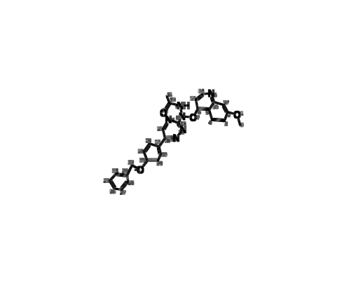 COc1ccc2c(ON(NC(C)=O)c3ncc(-c4ccc(OCc5ccccc5)cc4)nn3)ccnc2c1